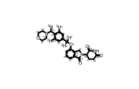 [2H]c1cc(C([2H])([2H])Oc2cccc3c2CN(C2CCC(=O)NC2=O)C3=O)cc([2H])c1C([2H])N1CCOCC1